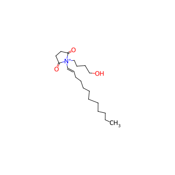 CCCCCCCCCCC=C[N+]1(CCCCO)C(=O)CCC1=O